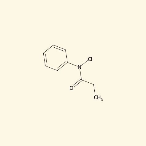 CCC(=O)N(Cl)c1ccccc1